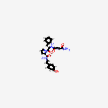 NC(=O)/C=C/C(=O)N[C@@H](Cc1ccccc1)C(=O)N1CCC[C@H]1C(=O)NCCc1ccc(O)cc1